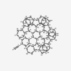 N#Cc1ccc(-c2c(-n3c4ccccc4c4ncccc43)c(-n3c4ccccc4c4ccccc43)c(-n3c4ccccc4c4ncccc43)c(-n3c4ccccc4c4ccccc43)c2-n2c3ccccc3c3ncccc32)cc1